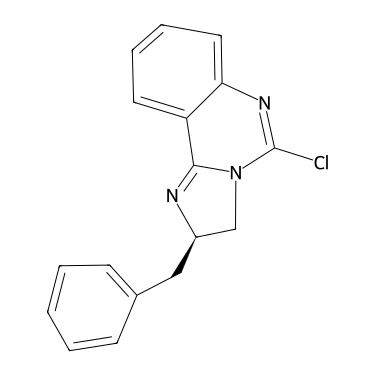 ClC1=Nc2ccccc2C2=N[C@H](Cc3ccccc3)CN12